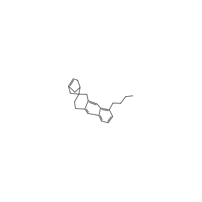 CCCCc1cccc2cc3c(cc12)CC1(CC3)CC2=CCC1C2